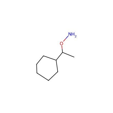 CC(ON)C1CCCCC1